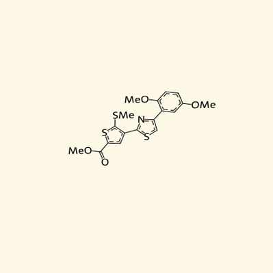 COC(=O)c1cc(-c2nc(-c3cc(OC)ccc3OC)cs2)c(SC)s1